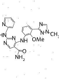 COc1c(Nc2nc(Nc3ccccn3)ncc2C(N)=O)cccc1-c1ncn(C)n1